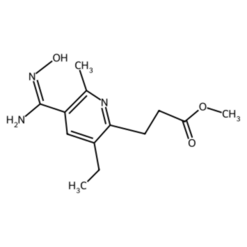 CCc1cc(/C(N)=N\O)c(C)nc1CCC(=O)OC